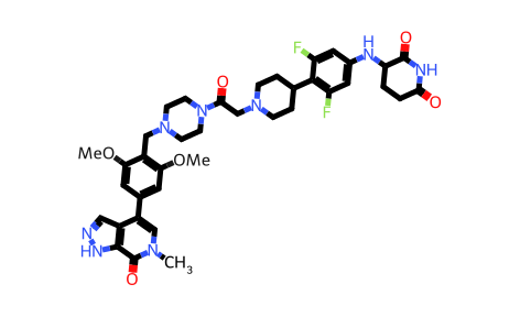 COc1cc(-c2cn(C)c(=O)c3[nH]ncc23)cc(OC)c1CN1CCN(C(=O)CN2CCC(c3c(F)cc(NC4CCC(=O)NC4=O)cc3F)CC2)CC1